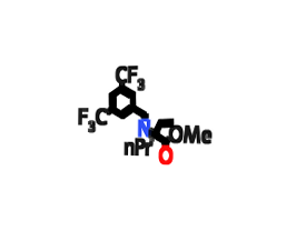 C=C[C@](CCC)(N=Cc1cc(C(F)(F)F)cc(C(F)(F)F)c1)C(=O)OC